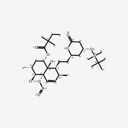 CCC(C)(C)C(=O)O[C@H]1C[C@@H](C)[C@H](Cl)[C@]2(ON=O)C=C[C@H](C)[C@H](CC[C@@H]3C[C@@H](O[Si](C)(C)C(C)(C)C)CC(=O)O3)[C@@H]12